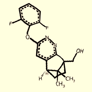 CC1(C)[C@H]2CCC1(CO)c1nnc(Oc3c(F)cccc3F)cc12